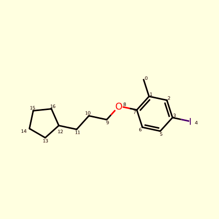 Cc1cc(I)ccc1OCCCC1CCCC1